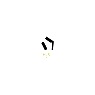 C=C.C=CC.S